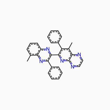 Cc1cccc2nc(-c3nc4nccnc4c(C)c3-c3ccccc3)c(-c3ccccc3)nc12